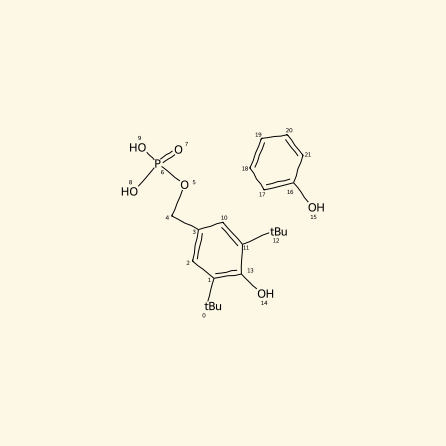 CC(C)(C)c1cc(COP(=O)(O)O)cc(C(C)(C)C)c1O.Oc1ccccc1